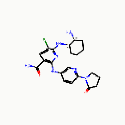 NC(=O)c1cc(F)c(N[C@@H]2CCCC[C@@H]2N)nc1Nc1ccc(N2CCCC2=O)nc1